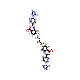 O=c1oc(-c2ccc(-n3ccnc3)nn2)nc2c(F)c(OCCCCOc3c(F)cc4c(=O)oc(-c5ccc(-n6ccnc6)nn5)nc4c3F)c(F)cc12